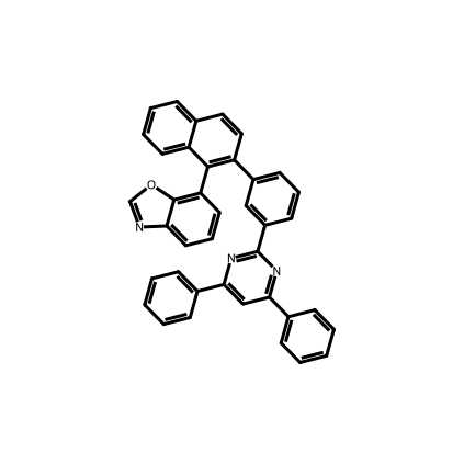 c1ccc(-c2cc(-c3ccccc3)nc(-c3cccc(-c4ccc5ccccc5c4-c4cccc5ncoc45)c3)n2)cc1